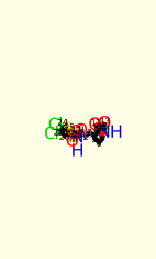 O=C(/C=C/c1cccc2c1C(=O)C(=O)N2)NS(=O)(=O)c1cc(Cl)c(Cl)s1